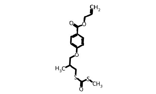 C=CCOC(=O)c1ccc(OCC(C)CSC(=O)SC)cc1